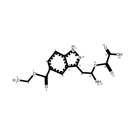 CCOC(=O)c1ccc2[nH]nc(CC(N)OC(=O)C(=O)O)c2c1